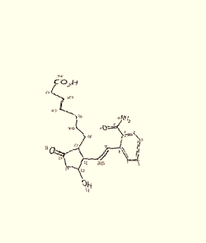 NC(=O)c1ccccc1C=CC1C(O)CC(=O)C1CCCCCCC(=O)O